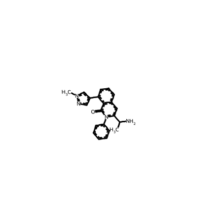 CC(N)c1cc2cccc(-c3cnn(C)c3)c2c(=O)n1-c1ccccc1